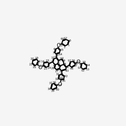 c1ccc(Oc2ccc(-c3cc(-c4ccc(Oc5ccccc5)cc4)c4ccc5c(-c6ccc(Oc7ccccc7)cc6)cc(-c6ccc(Oc7ccccc7)cc6)c6ccc3c4c65)cc2)cc1